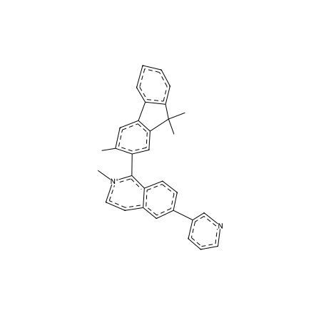 Cc1cc2c(cc1-c1c3ccc(-c4cccnc4)cc3cc[n+]1C)C(C)(C)c1ccccc1-2